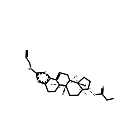 C=CCNc1nc2c(s1)C1=CC[C@H]3[C@@H]4CC[C@H](OC(=O)CC)[C@@]4(C)CC[C@@H]3[C@@]1(C)CC2